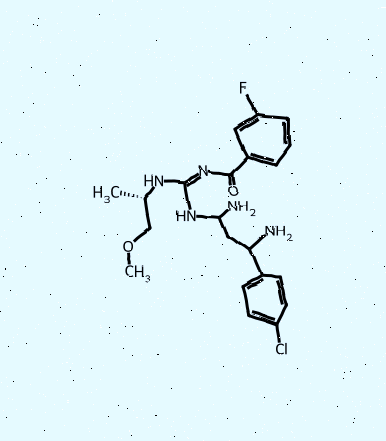 COC[C@H](C)N/C(=N/C(=O)c1cccc(F)c1)NC(N)CC(N)c1ccc(Cl)cc1